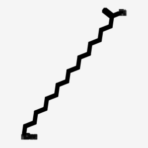 C=C(CC)CCCCCCCCCCCCCCCCCCCCCCCCCC